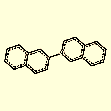 c1ccc2cc(-[n+]3ccc4ccccc4c3)ccc2c1